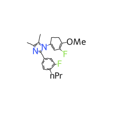 CCCc1ccc(-c2nc(C)c(C)n2C2=CC(F)=C(OC)CC2)cc1F